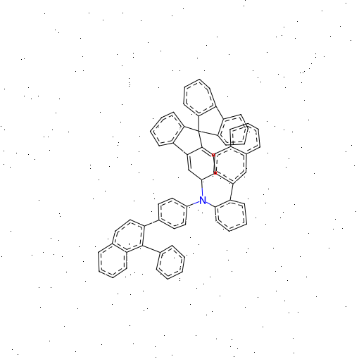 C1=C2C(=CCC1N(c1ccc(-c3ccc4ccccc4c3-c3ccccc3)cc1)c1ccccc1-c1ccc3ccccc3c1)C1(c3ccccc32)c2ccccc2-c2ccccc21